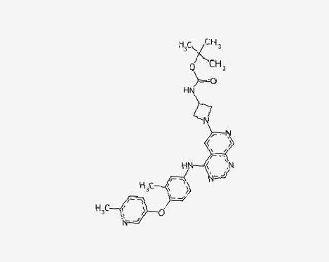 Cc1ccc(Oc2ccc(Nc3ncnc4cnc(N5CC(NC(=O)OC(C)(C)C)C5)cc34)cc2C)cn1